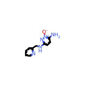 Nc1ccc(NCc2ccccn2)n[n+]1[O-]